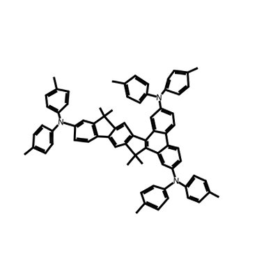 Cc1ccc(N(c2ccc(C)cc2)c2ccc3c(c2)C(C)(C)c2cc4c(cc2-3)C(C)(C)c2c-4c3cc(N(c4ccc(C)cc4)c4ccc(C)cc4)ccc3c3ccc(N(c4ccc(C)cc4)c4ccc(C)cc4)cc23)cc1